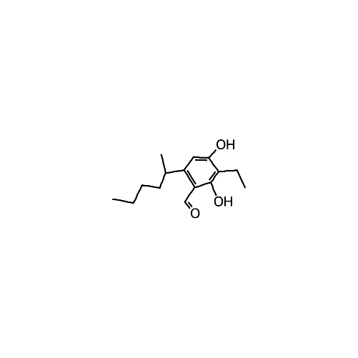 CCCCC(C)c1cc(O)c(CC)c(O)c1C=O